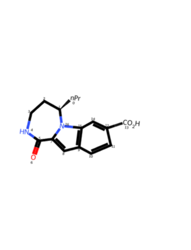 CCC[C@@H]1CCNC(=O)c2cc3ccc(C(=O)O)cc3n21